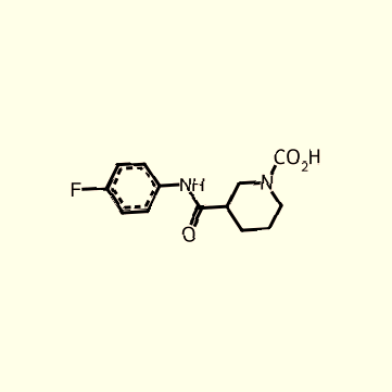 O=C(Nc1ccc(F)cc1)C1CCCN(C(=O)O)C1